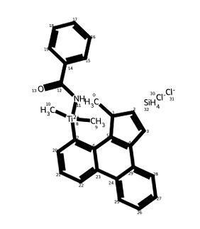 CC1C=Cc2c1c1[c]([Ti+2]([CH3])([CH3])[NH]C(=O)c3ccccc3)cccc1c1ccccc21.[Cl-].[Cl-].[SiH4]